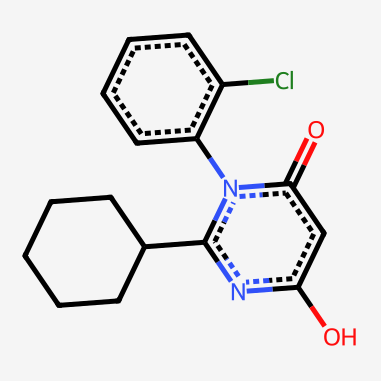 O=c1cc(O)nc(C2CCCCC2)n1-c1ccccc1Cl